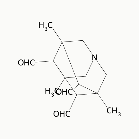 CC12CN3CC(C)(C1C=O)C(C=O)C(C)(C3)C2C=O